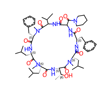 CC(C)C[C@@H]1NC(=O)[C@H](Cc2ccccc2)N(C)C(=O)C(C(C)C)NC(=O)C(C(=O)N2CCCCC2)NC(=O)[C@H](Cc2ccccc2)NC(=O)[C@H](CC(C)C)N(C)C(=O)[C@H]([C@@H](C)O)NC(=O)[C@H](CC(C)C)N(C)C1=O